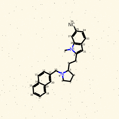 Cn1c(CCC2CCCN2Cc2ccc3ccccc3c2)cc2ccc(C#N)cc21